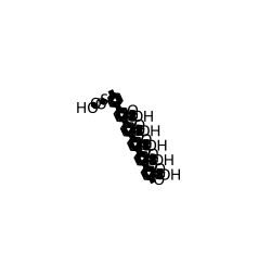 Cc1ccc(-c2ccc(-c3ccc(-c4ccc(-c5ccc(-c6ccc(C)c(S(=O)(=O)O)c6)c(S(=O)(=O)O)c5)c(S(=O)(=O)O)c4)c(S(=O)(=O)O)c3)c(S(=O)(=O)O)c2)cc1SOOO